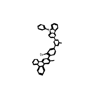 CCc1cc(-c2cc(C)cc(-c3ccc4c(c3)c3ccccc3n4-c3ccccc3)c2)ccc1-c1cc2c3ccccc3c3ccccc3c2cc1C